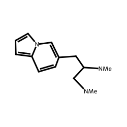 CNCC(Cc1ccc2cccn2c1)NC